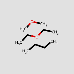 CCCC.CCOCC.COC